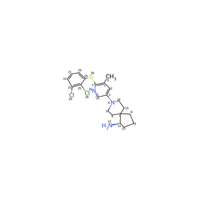 Cc1cc(N2CCC3(CCC[C@H]3N)CC2)[c]nc1Sc1cccc(Cl)c1Cl